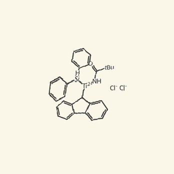 CC(C)(C)C(=O)[NH][Ti+2]([CH]1c2ccccc2-c2ccccc21)[SiH](c1ccccc1)c1ccccc1.[Cl-].[Cl-]